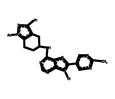 CCn1c(-c2cnc(C)nc2)nc2c(NC3CCc4c(c(C(C)C)nn4C(C)=O)C3)ncnc21